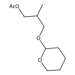 [CH2]C(COC(C)=O)COC1CCCCO1